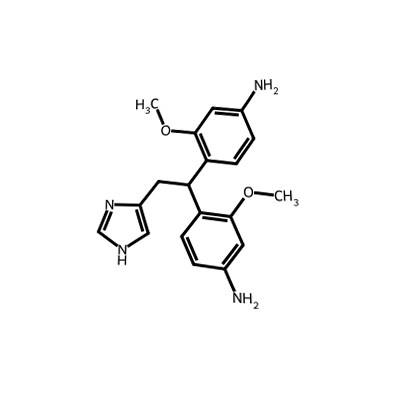 COc1cc(N)ccc1C(Cc1c[nH]cn1)c1ccc(N)cc1OC